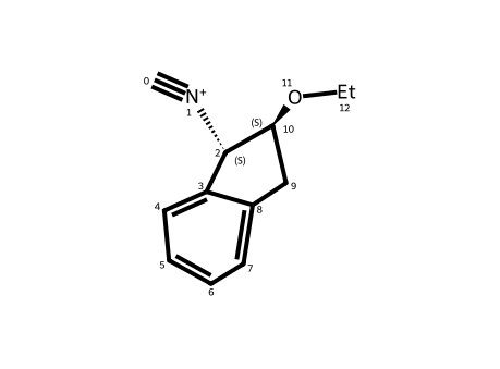 C#[N+][C@H]1c2ccccc2C[C@@H]1OCC